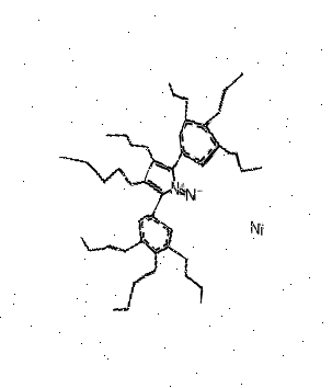 CCCCCC1=C(c2cc(CCCC)c(CCCC)c(CCCC)c2)[N+](=[N-])C(c2cc(CCC)c(CCC)c(CCC)c2)=C1CCCC.[Ni]